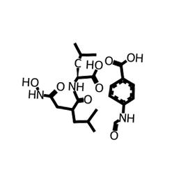 CC(C)CC(CC(=O)NO)C(=O)N[C@@H](CC(C)C)C(=O)O.O=CNc1ccc(C(=O)O)cc1